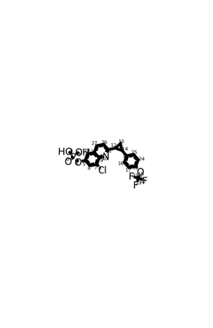 O=P(O)(O)Oc1cc(Cl)c2nc(C3CC3c3ccc(OC(F)(F)F)cc3)ccc2c1